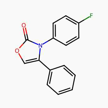 O=c1occ(-c2ccccc2)n1-c1ccc(F)cc1